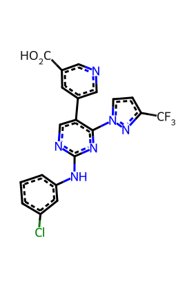 O=C(O)c1cncc(-c2cnc(Nc3cccc(Cl)c3)nc2-n2ccc(C(F)(F)F)n2)c1